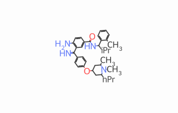 CCCC1CC(Oc2ccc(C(=N)c3cc(C(=O)NC(c4ccccc4C)C(C)C)ccc3N)cc2)CC(C)N1C